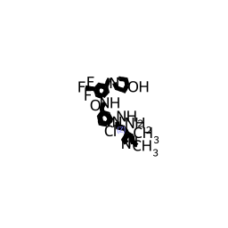 Cc1c(/C(N)=C/N(N)c2cc(C(=O)Nc3cc(CN4CCC(O)CC4)cc(C(F)(F)F)c3)ccc2Cl)cnn1C